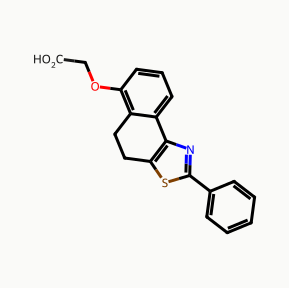 O=C(O)COc1cccc2c1CCc1sc(-c3ccccc3)nc1-2